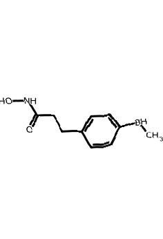 CBc1ccc(CCC(=O)NO)cc1